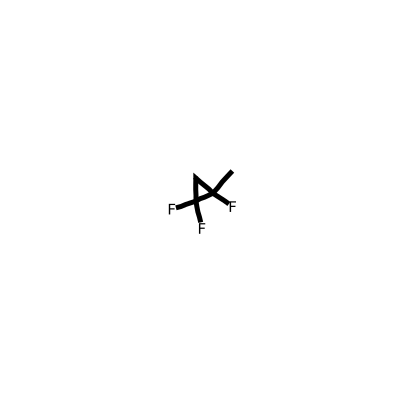 CC1(F)CC1(F)F